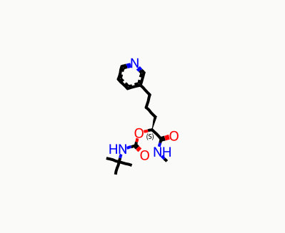 CNC(=O)[C@H](CCCc1cccnc1)OC(=O)NC(C)(C)C